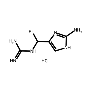 CCC(NC(=N)N)c1c[nH]c(N)n1.Cl